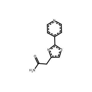 NC(=O)Cc1csc(-c2ccncc2)n1